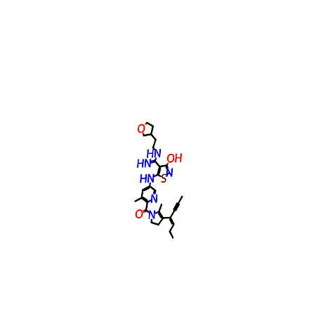 CC#C/C(=C/CC)C1=C(C)N(C(=O)c2ncc(Nc3snc(O)c3C(=N)NCCC3CCOC3)cc2C)CC1